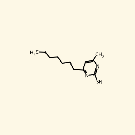 CCCCCCCc1cc(C)nc(S)n1